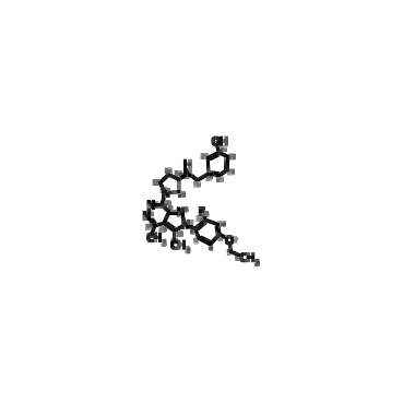 CCOc1ccc(-n2nc3c(N4CC[C@@H](NCc5cccc(O)c5)C4)nnc(C)c3c2C)c(F)c1